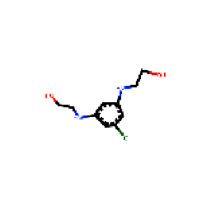 OCCNc1cc(Cl)cc(NCCO)c1